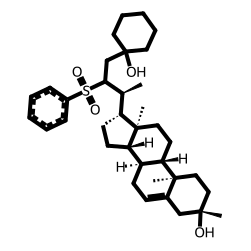 C[C@H](C(CC1(O)CCCCC1)S(=O)(=O)c1ccccc1)[C@H]1CC[C@H]2[C@@H]3CC=C4C[C@@](C)(O)CC[C@]4(C)[C@H]3CC[C@]12C